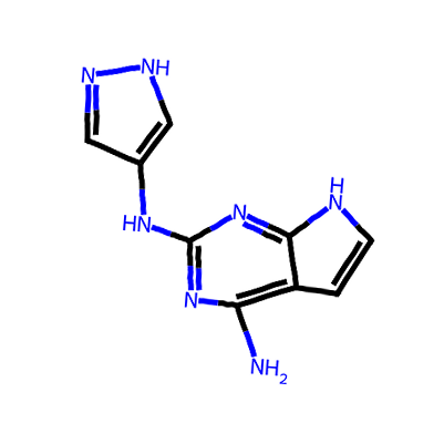 Nc1nc(Nc2cn[nH]c2)nc2[nH]ccc12